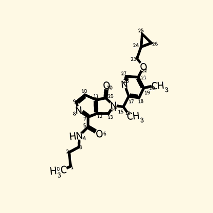 CCCCNC(=O)c1nccc2c1CN(C(C)c1cc(C)c(OCC3CC3)cn1)C2=O